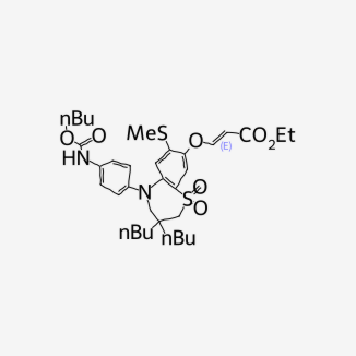 CCCCOC(=O)Nc1ccc(N2CC(CCCC)(CCCC)CS(=O)(=O)c3cc(O/C=C/C(=O)OCC)c(SC)cc32)cc1